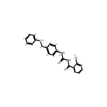 O=C(NC(=O)c1ccccc1Cl)Nc1ccc(COc2ccccc2)cc1